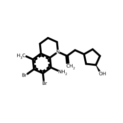 C=C(CC1CC[C@@H](O)C1)N1CCCc2c(C)c(Br)c(Br)c(N)c21